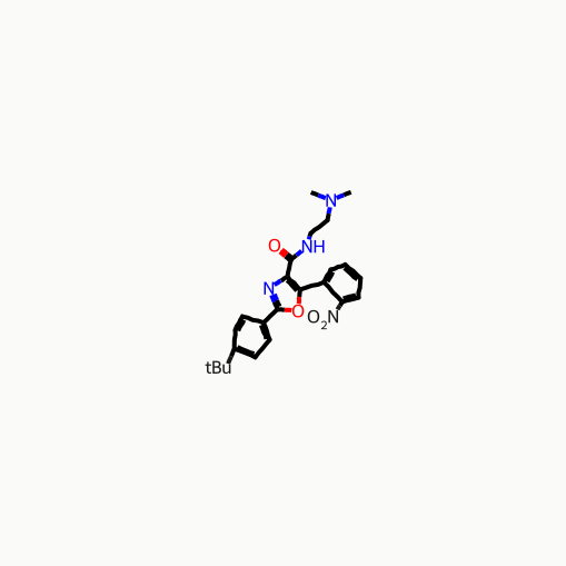 CN(C)CCNC(=O)c1nc(-c2ccc(C(C)(C)C)cc2)oc1-c1ccccc1[N+](=O)[O-]